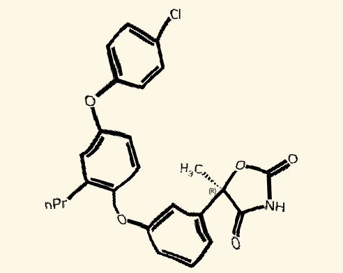 CCCc1cc(Oc2ccc(Cl)cc2)ccc1Oc1cccc([C@@]2(C)OC(=O)NC2=O)c1